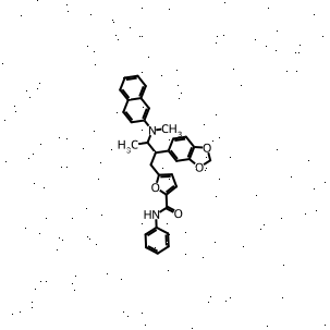 CC(C(Cc1ccc(C(=O)Nc2ccccc2)o1)c1ccc2c(c1)OCO2)N(C)c1ccc2ccccc2c1